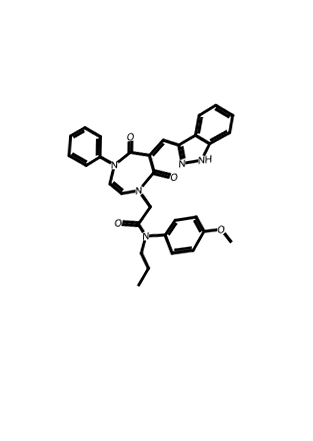 CCCN(C(=O)CN1C=CN(c2ccccc2)C(=O)/C(=C/c2n[nH]c3ccccc23)C1=O)c1ccc(OC)cc1